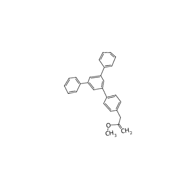 C=C(Cc1ccc(-c2cc(-c3ccccc3)cc(-c3ccccc3)c2)cc1)OC